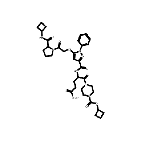 COC(=O)CCC(NC(=O)c1cc(OCC(=O)N2CCCC2C(=O)NC2CCC2)n(-c2ccccc2)n1)C(=O)N1CCN(C(=O)OC2CCC2)CC1